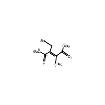 CCCCCCCCCCC(C(=O)OCC(C)C)=C(CC(C)(C)C)C(=O)OCC(C)C